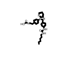 CCCCCCNC(=O)Nc1ccc(-c2nc3cccnc3n2-c2ccc(CCNC(=O)O)cc2)cc1